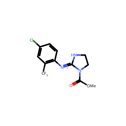 COC(=O)N1CCN/C1=N\c1ccc(Cl)cc1C(F)(F)F